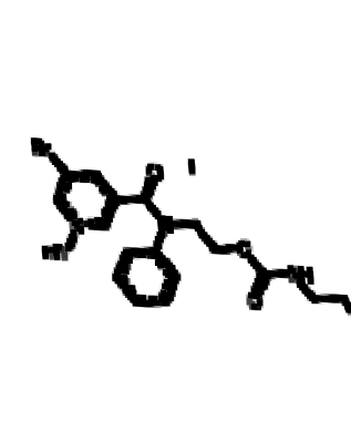 CCC[n+]1cc(Br)cc(C(=O)N(CCOC(=O)NCCI)c2ccccc2)c1.[I-]